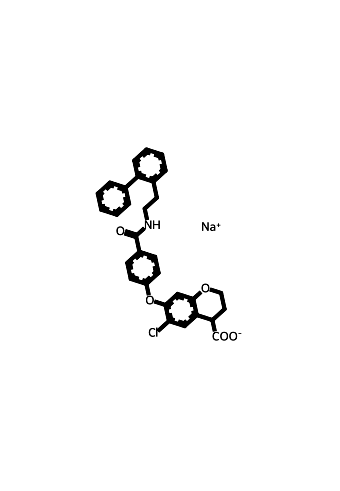 O=C(NCCc1ccccc1-c1ccccc1)c1ccc(Oc2cc3c(cc2Cl)C(C(=O)[O-])CCO3)cc1.[Na+]